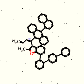 C=C/C=C(/c1c2ccccc2c(-c2cccc3ccccc23)c2ccccc12)c1c(C)oc2c(-c3ccccc3-c3ccc(-c4ccccc4)cc3)cccc12